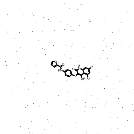 O=C(Nc1ccc(Sc2c(O)c3c(Cl)cc(Cl)cc3[nH]c2=O)cc1)c1ccco1